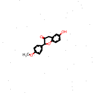 COc1ccc(C2Oc3ccc(O)cc3CC2=O)cc1